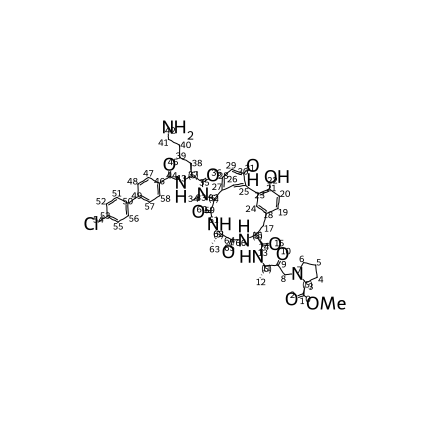 COC(=O)[C@@H]1CCCN1CC(=O)[C@H](C)NC(=O)[C@@H]1Cc2ccc(O)c(c2)-c2cc(ccc2O)[C@H](N(C)C(=O)[C@H](CCCCN)NC(=O)c2ccc(-c3ccc(Cl)cc3)cc2)C(=O)N[C@@H](C)C(=O)N1